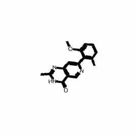 COc1cccc(C)c1-c1cc2nc(C)[nH]c(=O)c2cn1